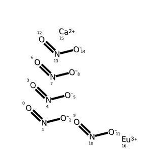 O=N[O-].O=N[O-].O=N[O-].O=N[O-].O=N[O-].[Ca+2].[Eu+3]